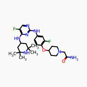 CC1(C)CC(Nc2nc(Nc3ccc(OC4CCN(CC(N)=O)CC4)c(F)c3)ncc2F)CC(C)(C)N1